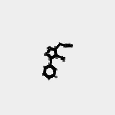 COCc1onc(-c2ccccc2)c1C(C)=O